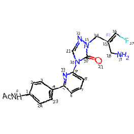 CC(=O)Nc1ccc(-c2cccc(-n3cnn(C/C(=C/F)CN)c3=O)n2)cc1